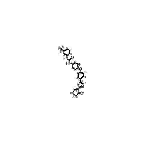 O=C(Nc1cnc(Oc2ccc(-c3cnc(N4CCOCC4=O)s3)cc2)nc1)Nc1cccc(C(F)(F)F)c1